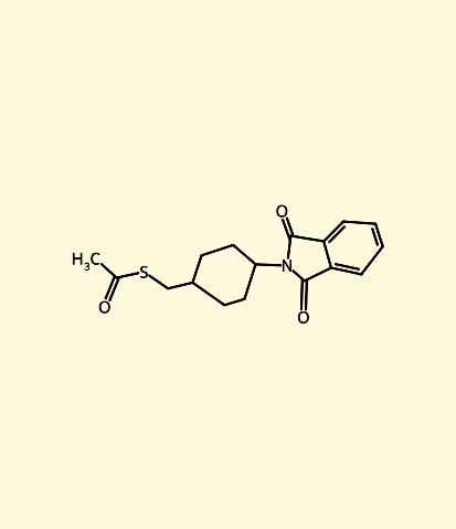 CC(=O)SCC1CCC(N2C(=O)c3ccccc3C2=O)CC1